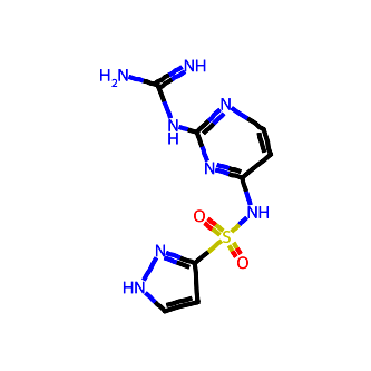 N=C(N)Nc1nccc(NS(=O)(=O)c2cc[nH]n2)n1